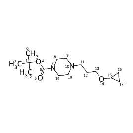 CC(C)(C)OC(=O)N1CCN(CCCOC2CC2)CC1